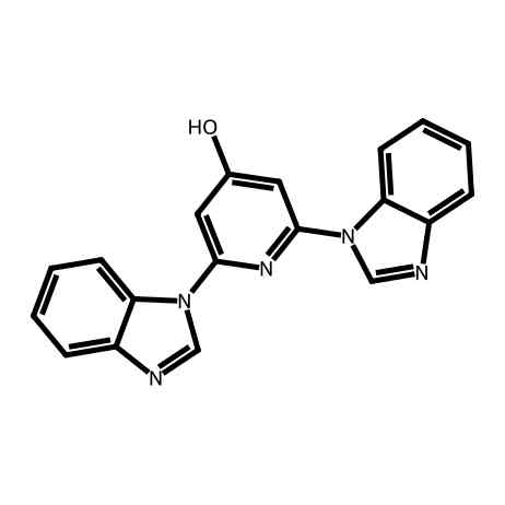 Oc1cc(-n2cnc3ccccc32)nc(-n2cnc3ccccc32)c1